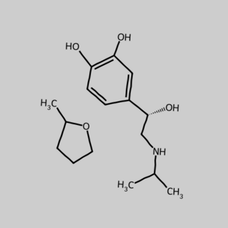 CC(C)NC[C@@H](O)c1ccc(O)c(O)c1.CC1CCCO1